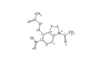 CC(=O)OOc1c([N+](=O)[O-])ccc2c1CCN2C(C)=O